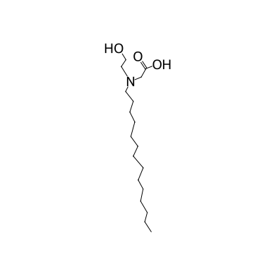 CCCCCCCCCCCCCCN(CCO)CC(=O)O